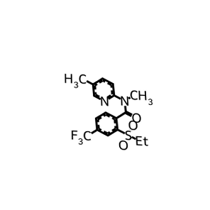 CCS(=O)(=O)c1cc(C(F)(F)F)ccc1C(=O)N(C)c1ccc(C)cn1